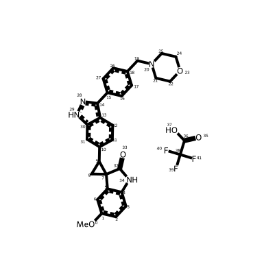 COc1ccc2c(c1)C1(CC1c1ccc3c(-c4ccc(CN5CCOCC5)cc4)n[nH]c3c1)C(=O)N2.O=C(O)C(F)(F)F